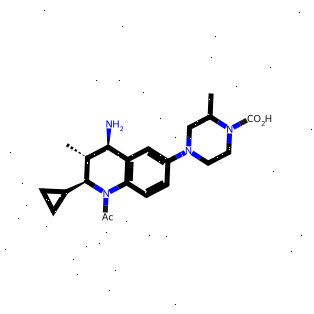 CC(=O)N1c2ccc(N3CCN(C(=O)O)C(C)C3)cc2[C@H](N)[C@@H](C)[C@@H]1C1CC1